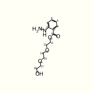 NNc1ccccc1C(=O)OCCOCCOCCO